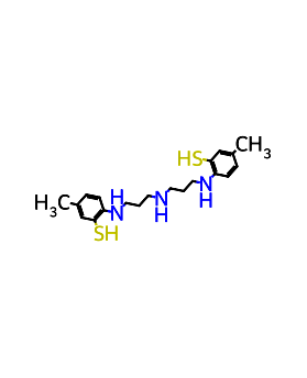 Cc1ccc(NCCCNCCCNc2ccc(C)cc2S)c(S)c1